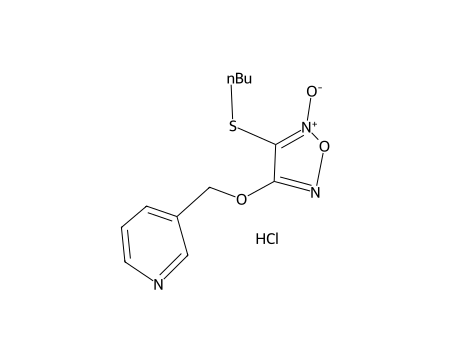 CCCCSc1c(OCc2cccnc2)no[n+]1[O-].Cl